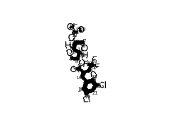 O=C(O[C@H]1CO[C@H]2[C@@H]1OC[C@H]2O[N+](=O)[O-])C1=Cc2cc(Cl)cc(Cl)c2OC1C(F)(F)F